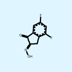 O=C1/C(=N/O)Cc2c(F)cc(F)cc21